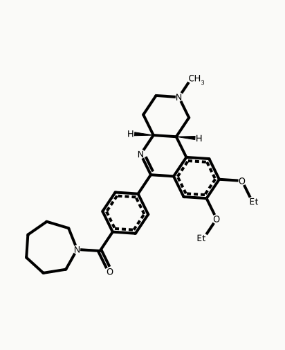 CCOc1cc2c(cc1OCC)[C@H]1CN(C)CC[C@H]1N=C2c1ccc(C(=O)N2CCCCCC2)cc1